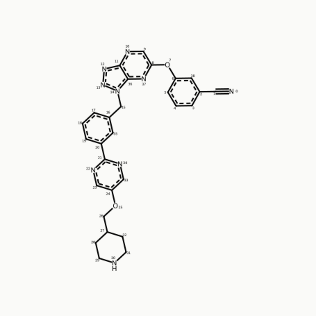 N#Cc1cccc(Oc2cnc3nnn(Cc4cccc(-c5ncc(OCC6CCNCC6)cn5)c4)c3n2)c1